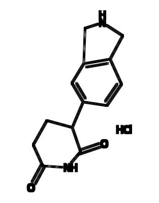 Cl.O=C1CCC(c2ccc3c(c2)CNC3)C(=O)N1